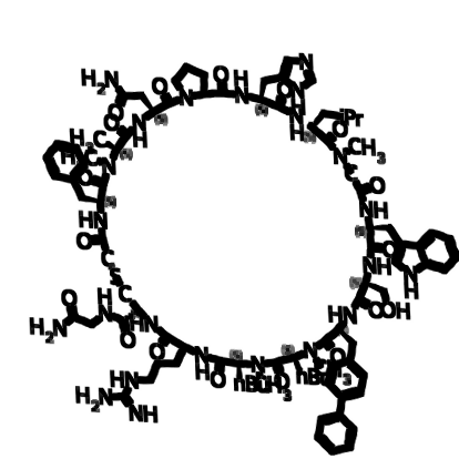 CCCC[C@H]1C(=O)N(C)[C@@H](CCCC)C(=O)NC(CCCNC(=N)N)C(=O)N[C@H](C(=O)NCC(N)=O)CSCC(=O)N[C@@H](Cc2ccccc2)C(=O)N(C)[C@@H](C)C(=O)N[C@@H](CC(N)=O)C(=O)N2CCCC2C(=O)N[C@@H](Cc2cnc[nH]2)C(=O)N[C@@H](CC(C)C)C(=O)N(C)CC(=O)N[C@@H](Cc2c[nH]c3ccccc23)C(=O)N[C@@H](CO)C(=O)N[C@@H](Cc2ccc(-c3ccccc3)cc2)C(=O)N1C